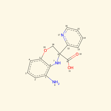 Nc1cccc2c1NC(C(=O)O)(c1ccccn1)CO2